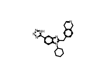 C1=NCc2ccc(Cc3nc4cc(-c5nnn[nH]5)ccc4n3C3CCCCC3)cc2C1